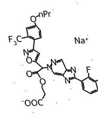 CCCOc1ccc(-c2cc(C(C(=O)OCCC(=O)[O-])n3cc4nc(-c5cccc(F)c5F)nc-4cn3)on2)c(C(F)(F)F)c1.[Na+]